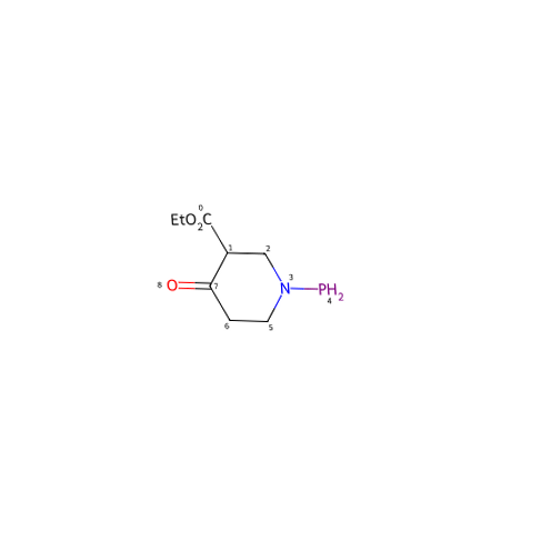 CCOC(=O)C1CN(P)CCC1=O